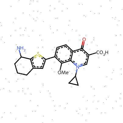 COc1c(-c2cc3c(s2)C(N)CCC3)ccc2c(=O)c(C(=O)O)cn(C3CC3)c12